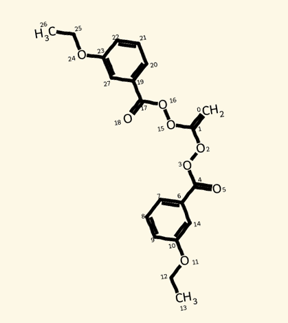 C=C(OOC(=O)c1cccc(OCC)c1)OOC(=O)c1cccc(OCC)c1